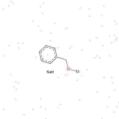 CCOCc1ccccc1.[NaH]